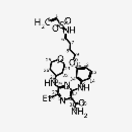 C=CS(=O)(=O)NCCCCOc1cccc(Nc2nc(NC3CCOCC3)c(CC)nc2C(N)=O)c1